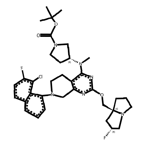 CN(c1nc(OC[C@@]23CCCN2C[C@H](F)C3)nc2c1CCN(c1cccc3ccc(F)c(Cl)c13)C2)[C@@H]1CCN(C(=O)OC(C)(C)C)C1